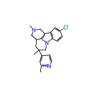 Cc1cc(C2(C)CC3CN(C)Cc4c3n(c3ccc(Cl)cc43)C2)ccn1